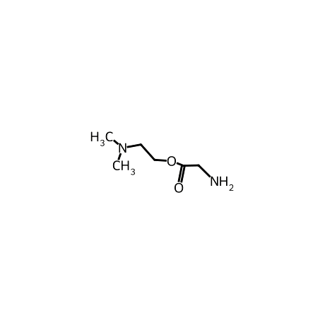 CN(C)CCOC(=O)CN